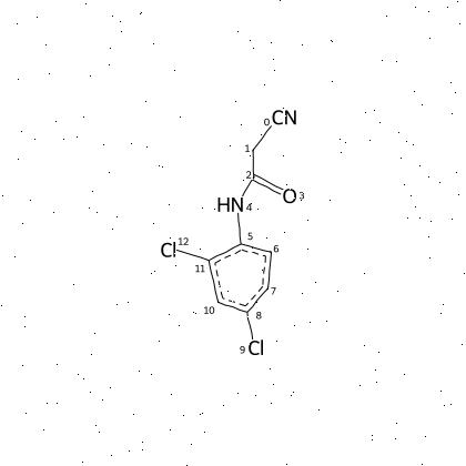 N#CCC(=O)Nc1ccc(Cl)cc1Cl